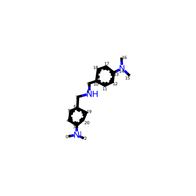 CN(C)c1ccc(CNCc2ccc(N(C)C)cc2)cc1